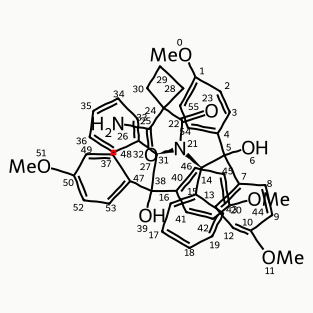 COc1ccc(C(O)(c2ccc(OC)cc2)[C@@H](c2ccccc2)N(C(=O)C2(C(N)=O)CCC2)[C@H](c2ccccc2)C(O)(c2ccc(OC)cc2)c2ccc(OC)cc2)cc1